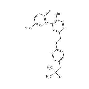 COc1ccc(F)c(-c2cc(COc3ccc(CC(C)(C)C(C)=O)cc3)ccc2C(C)(C)C)c1